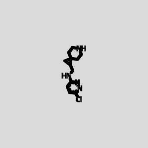 Clc1ccc(NCC2CC23CCNCC3)nn1